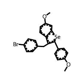 COc1ccc(-c2[se]c3cc(OC)ccc3c2Cc2ccc(Br)cc2)cc1